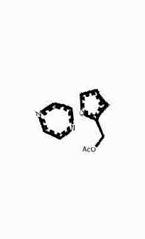 CC(=O)OCc1ccco1.c1cnccn1